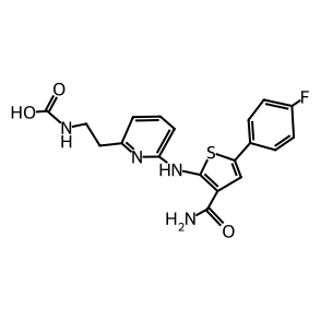 NC(=O)c1cc(-c2ccc(F)cc2)sc1Nc1cccc(CCNC(=O)O)n1